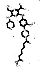 CCc1nc(C(N)=O)c(Nc2ccc(N3CCN(C(=O)CCCCCC(=O)NO)CC3)c(OC)c2)nc1NC1CCOCC1